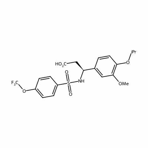 COc1cc([C@H](CC(=O)O)NS(=O)(=O)c2ccc(OC(F)(F)F)cc2)ccc1OC(C)C